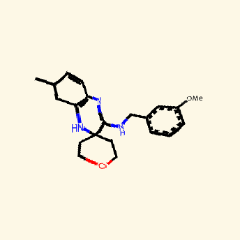 COc1cccc(CNC2=NC3=C(CC(C)C=C3)NC23CCOCC3)c1